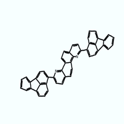 c1ccc2c(c1)-c1cccc3c(-c4ccc5ccc6c(ccc7ccc(-c8ccc9c%10c(cccc8%10)-c8ccccc8-9)nc76)c5n4)ccc-2c13